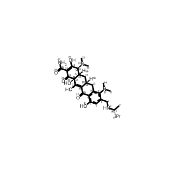 CC(C)[C@@H](C)NCc1cc(O)c2c(c1N(C)C)C[C@H]1C[C@H]3[C@H](N(C)C)C(O)=C(C(N)=O)C(=O)[C@@]3(O)C(O)=C1C2=O